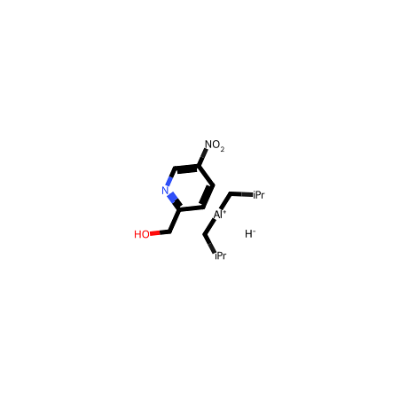 CC(C)[CH2][Al+][CH2]C(C)C.O=[N+]([O-])c1ccc(CO)nc1.[H-]